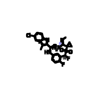 C/N=C(/N)C1(S(=O)(=O)[C@@H](F)c2cc(NC(=O)c3nc4ccc(Cl)cn4c3C)ccc2F)CC1